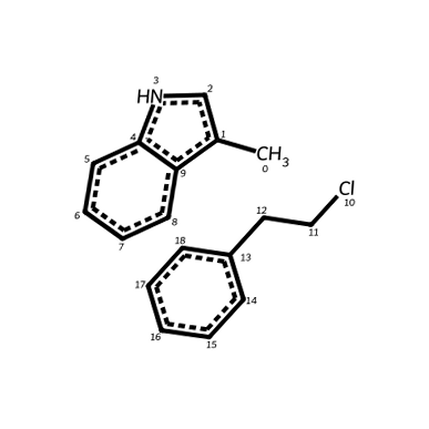 Cc1c[nH]c2ccccc12.ClCCc1ccccc1